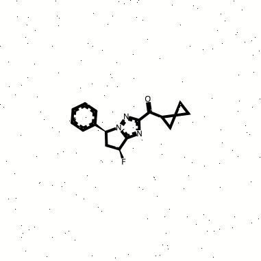 O=C(c1nc2n(n1)[C@H](c1ccccc1)C[C@@H]2F)C1CC12CC2